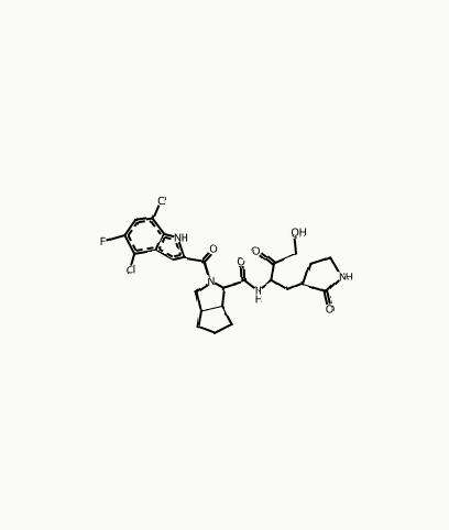 O=C1NCCC1CC(NC(=O)C1C2CCCC2CN1C(=O)c1cc2c(Cl)c(F)cc(Cl)c2[nH]1)C(=O)CO